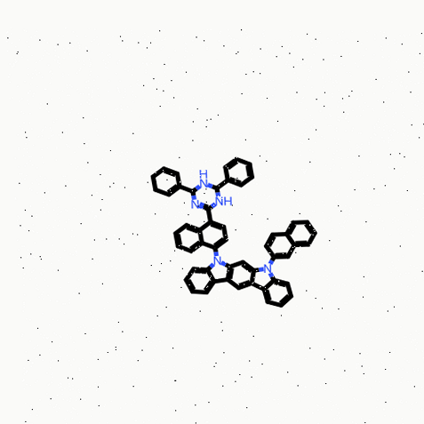 C1=CC(C2N=C(c3ccc(-n4c5ccccc5c5cc6c7ccccc7n(-c7ccc8ccccc8c7)c6cc54)c4ccccc34)NC(c3ccccc3)N2)=CCC1